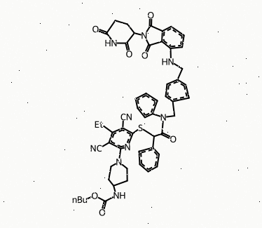 CCCCOC(=O)NC1CCN(c2nc(SC(C(=O)N(Cc3ccc(CNc4cccc5c4C(=O)N(C4CCC(=O)NC4=O)C5=O)cc3)c3ccccc3)c3ccccc3)c(C#N)c(CC)c2C#N)CC1